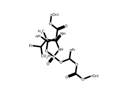 CCCCCCCCOC(=O)OC(CCC)OP(=O)(NC(=N)N(C)C(CC)C(=O)O)OC(CCC)OC(=O)OCCCCCCCC